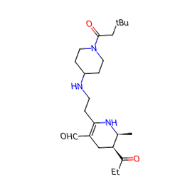 CCC(=O)[C@H]1CC(C=O)=C(CCNC2CCN(C(=O)CC(C)(C)C)CC2)N[C@H]1C